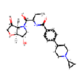 CC(C)(C)CC(NC(=O)c1ccc(C2CCN(C3CC3)CC2)cc1)C(=O)N1C[C@H](O)[C@H]2OCC(=O)[C@H]21